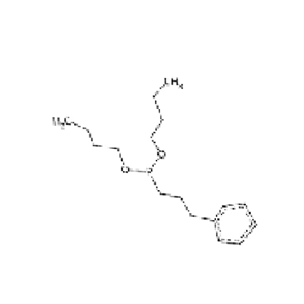 CCCCOP(CCCc1ccccc1)OCCCC